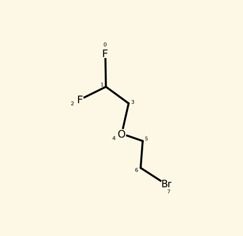 FC(F)COCCBr